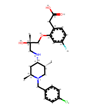 C[C@@H]1CN(Cc2ccc(Cl)cc2)[C@@H](C)C[C@@H]1NC[C@](C)(O)COc1cc(F)ccc1CC(=O)O